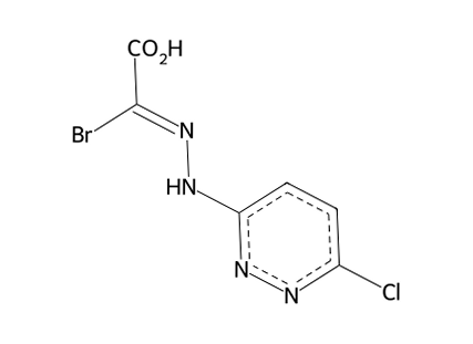 O=C(O)C(Br)=NNc1ccc(Cl)nn1